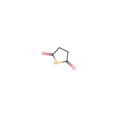 O=C1CCC(=O)P1